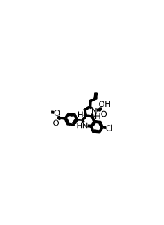 C=CCC1C[C@@H]2[C@H](c3ccc(C(=O)OC)cc3)Nc3ccc(Cl)cc3[C@@H]2N1C(=O)O